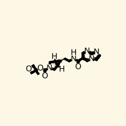 CC1(OC(=O)N2C[C@@H]3[C@@H](CCNC(=O)c4cnc5nccn5c4)[C@@H]3C2)COC1